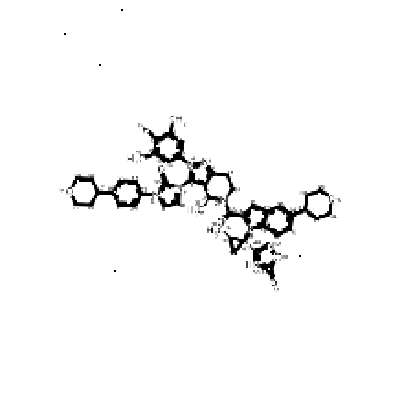 Cc1cc(-n2nc3c(c2-n2ccn(-c4ccc(C5CCOCC5)cc4)c2=O)[C@H](C)N(C(=O)c2cc4cc(C5CCOCC5)ccc4n2[C@@]2(c4noc(=O)[nH]4)C[C@@H]2C)CC3)cc(C)c1F